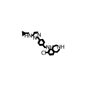 Clc1ccc2c(c1NCc1ccc(-c3nccc(NCC4CC4)n3)cc1)CCNCC2